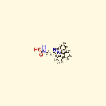 O=C(O)NCCCc1cn(C(c2ccccc2)(c2ccccc2)c2ccccc2)cn1